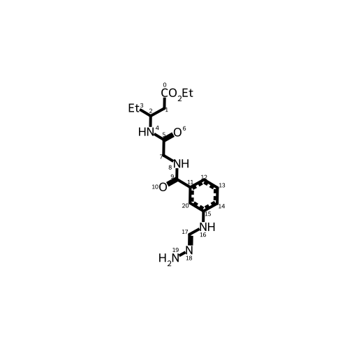 CCOC(=O)CC(CC)NC(=O)CNC(=O)c1cccc(NC=NN)c1